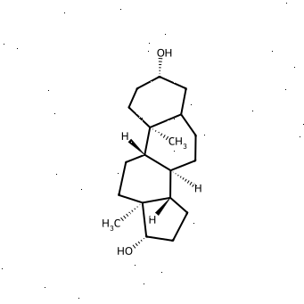 C[C@]12CC[C@H]3[C@@H](CCC4C[C@@H](O)CC[C@@]43C)[C@@H]1CC[C@@H]2O